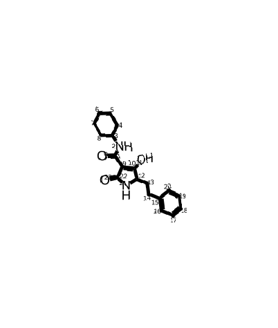 O=C(NC1CCCCC1)C1=C(O)C(CCc2ccccc2)NC1=O